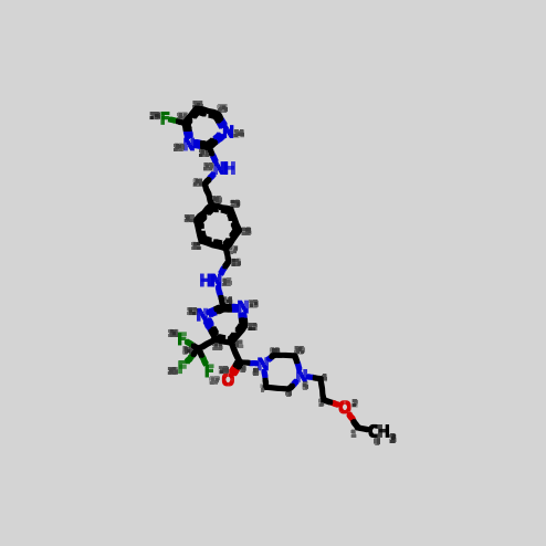 CCOCCN1CCN(C(=O)c2cnc(NCc3ccc(CNc4nccc(F)n4)cc3)nc2C(F)(F)F)CC1